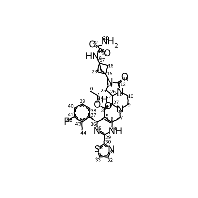 CCOC(=O)C1=C(CN2CCN3C(=O)N(C45CC(NS(N)(=O)=O)(C4)C5)C[C@@H]3C2)NC(c2nccs2)=N[C@H]1c1cccc(F)c1C